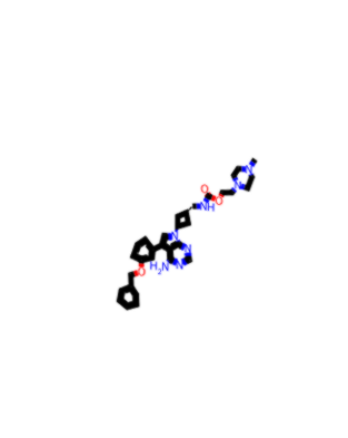 CN1CCN(CCOC(=O)NC[C@H]2C[C@H](n3cc(-c4cccc(OCc5ccccc5)c4)c4c(N)ncnc43)C2)CC1